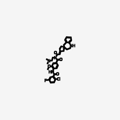 COc1cc(C(=O)N(CCN(C)C)C(=O)C=C2CC[C@@]3(CCNc4ccccc4C3)C2)ccc1NC(=O)c1cc(F)ccc1Cl